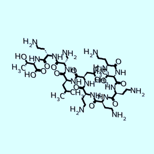 CC(C)C[C@H](NC(=O)[C@@H](CC(C)C)NC(=O)[C@H](CCN)NC(=O)[C@H](CCN)NC(=O)[C@H](CCN)NC(=O)[C@@H](NC(=O)[C@@H](N)CCN)[C@@H](C)O)C(=O)N[C@@H](CN)C(=O)N[C@@H](CCN)C(=O)N[C@H](C(=O)O)[C@@H](C)O